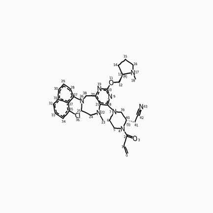 C=CC(=O)N1CCN(c2nc(OC[C@H]3CCCN3C)nc3c2N(C)CCN(c2cccc4cccc(Cl)c24)C3)C[C@@H]1CC#N